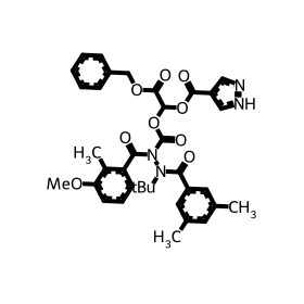 COc1cccc(C(=O)N(C(=O)OC(OC(=O)c2cn[nH]c2)C(=O)OCc2ccccc2)N(C(=O)c2cc(C)cc(C)c2)C(C)(C)C)c1C